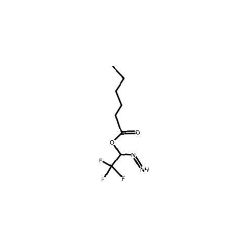 CCCCCC(=O)OC(N=N)C(F)(F)F